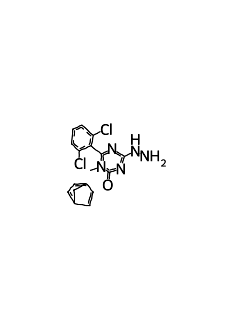 C1=CC2=CC=C1C2.Cn1c(-c2c(Cl)cccc2Cl)nc(NN)nc1=O